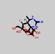 CC1NC(=N)N[C@@]23C(O)C4OC(O)(O[C@@H]([C@H]12)[C@@]4(O)CO)[C@H]3O